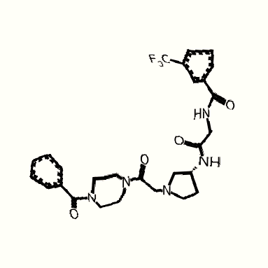 O=C(CNC(=O)c1cccc(C(F)(F)F)c1)N[C@@H]1CCN(CC(=O)N2CCN(C(=O)c3ccccc3)CC2)C1